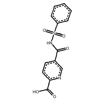 O=C(NS(=O)(=O)c1ccccc1)c1ccc(C(=O)O)nc1